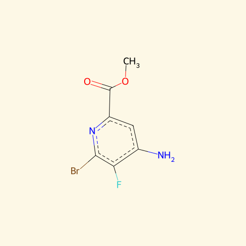 COC(=O)c1cc(N)c(F)c(Br)n1